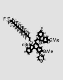 CCCCC1(OCCC(F)(F)C(F)(F)C(F)(F)C(F)(F)C(F)(F)C(F)(F)C(F)(F)C(F)(F)C(F)(F)C(F)(F)F)c2ccccc2-c2c1c1c(c3cc(OC)c(N4CCOCC4)cc23)OC(c2ccc(F)cc2)(c2ccc(OC)cc2)C=C1